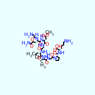 COC(=O)C[C@H](NC(=O)[C@H](CCC(N)=O)NC(=O)CN)C(=O)NCC(=O)N[C@@H](CC(C)C)C(=O)N[C@@H](C)C(=O)NCC(=O)N1CCC[C@H]1C(=O)N[C@@H](CCCCN)C(=O)O